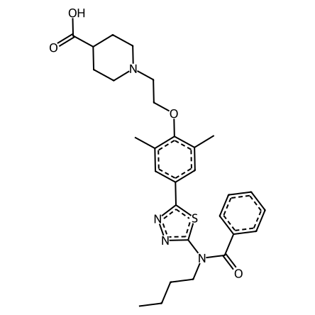 CCCCN(C(=O)c1ccccc1)c1nnc(-c2cc(C)c(OCCN3CCC(C(=O)O)CC3)c(C)c2)s1